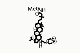 C=C(C)[C@@H]1CC[C@]2(NCCN3CCS(=O)(=O)CC3)CC[C@]3(C)[C@H](CC[C@@H]4[C@@]5(C)CC=C(CCC(C)(C)CC(=O)NOC)C(C)(C)[C@@H]5CC[C@]43C)[C@@H]12